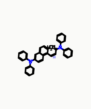 C=C(/C=C\c1c(C)ccc2cc(N(c3ccccc3)c3ccccc3)ccc12)N(c1ccccc1)c1ccccc1